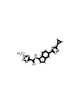 Cn1nnc(C(=O)NC2CCc3cc(-c4nc(C5CC5)no4)ccc32)n1